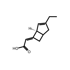 CCC1=C[C@@H]2C(=CC(=O)O)CC2C1